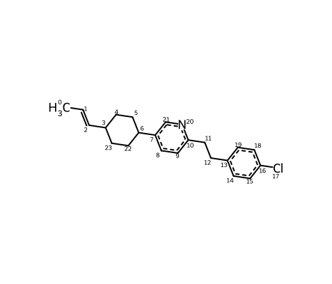 CC=CC1CCC(c2ccc(CCc3ccc(Cl)cc3)nc2)CC1